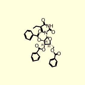 CCc1cn([C@@H]2O[C@H](COC(=O)c3ccccc3)[C@@H](OC(=O)c3ccccc3)[C@H]2OC(=O)c2ccccc2)c(=O)[nH]c1=O